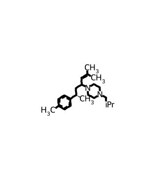 CC(C)=CC(C[C@H](C)c1ccc(C)cc1)N1CCN(CC(C)C)CC1